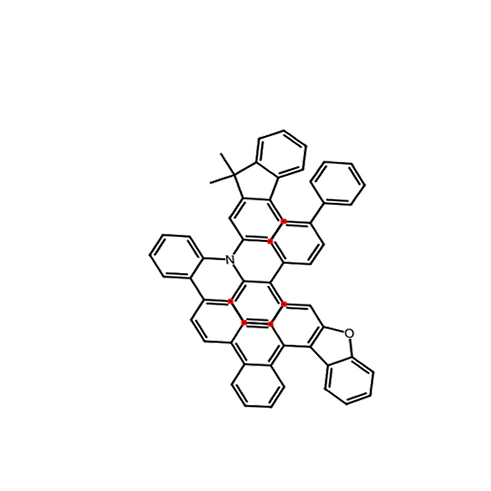 CC1(C)c2ccccc2-c2ccc(N(c3ccccc3-c3ccc(-c4ccccc4)cc3)c3ccccc3-c3ccc4c5ccccc5c5c(ccc6oc7ccccc7c65)c4c3)cc21